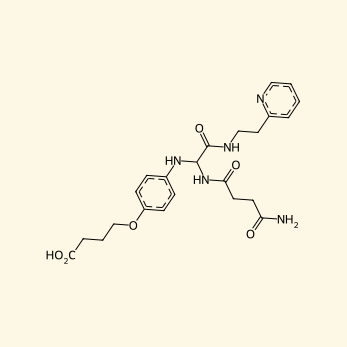 NC(=O)CCC(=O)NC(Nc1ccc(OCCCC(=O)O)cc1)C(=O)NCCc1ccccn1